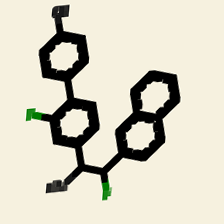 CCCCC(c1ccc(-c2ccc(C#N)cc2)c(F)c1)C(F)c1ccc2ccccc2c1